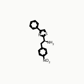 N[C@@H](Cc1ccc([N+](=O)[O-])cc1)c1nc(-c2ccccc2)cs1